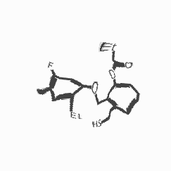 CCC(=O)Oc1cccc(CS)c1COc1cc(F)c(C)cc1CC